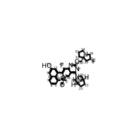 CS(=O)(=O)c1cccc2cc(O)cc(-c3ncc4c(N5C[C@H]6CC[C@@H](C5)N6)nc(OC[C@@]56CCCN5C[C@H](F)C6)nc4c3F)c12